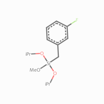 CO[Si](Cc1cccc(F)c1)(OC(C)C)OC(C)C